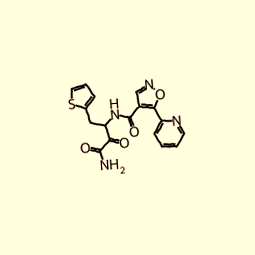 NC(=O)C(=O)C(Cc1cccs1)NC(=O)c1cnoc1-c1ccccn1